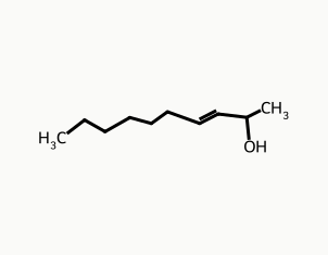 CCCCCCC=CC(C)O